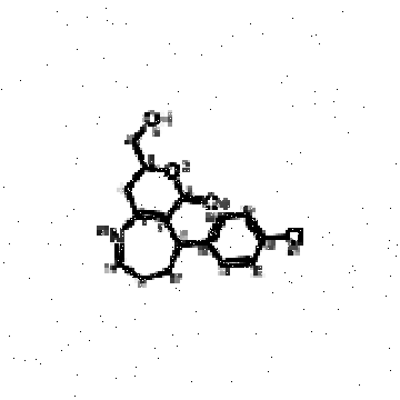 O=C1OC(CO)CC2=C1C(c1ccc(Cl)cc1)CCC=N2